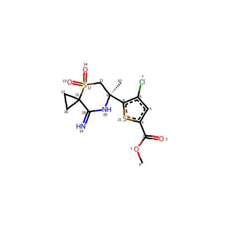 COC(=O)c1cc(Cl)c([C@]2(C)CS(=O)(=O)C3(CC3)C(=N)N2)s1